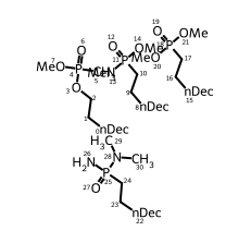 CCCCCCCCCCCCOP(C)(=O)OC.CCCCCCCCCCCCP(=O)(NC)OC.CCCCCCCCCCCCP(=O)(OC)OC.CCCCCCCCCCCCP(N)(=O)N(C)C